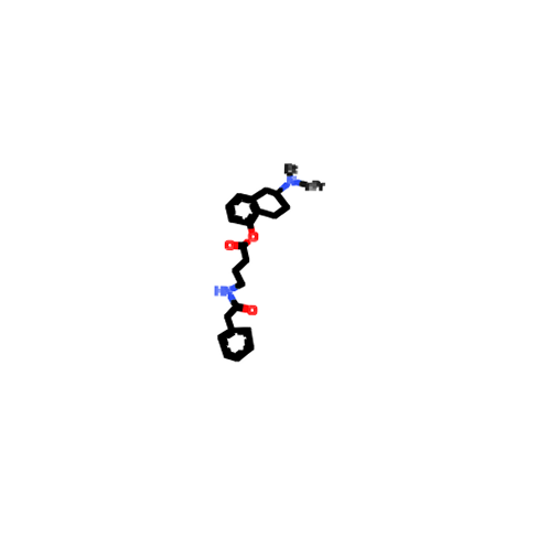 CCCN(CC)[C@H]1CCc2c(cccc2OC(=O)CCCNC(=O)Cc2ccccc2)C1